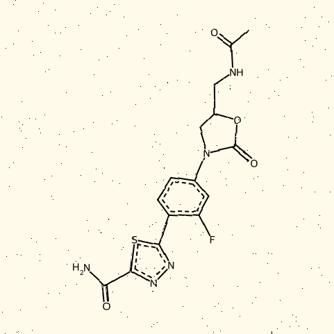 CC(=O)NCC1CN(c2ccc(-c3nnc(C(N)=O)s3)c(F)c2)C(=O)O1